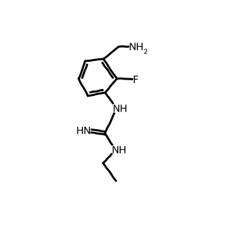 CCNC(=N)Nc1cccc(CN)c1F